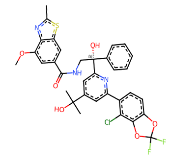 COc1cc(C(=O)NC[C@@](O)(c2ccccc2)c2cc(C(C)(C)O)cc(-c3ccc4c(c3Cl)OC(F)(F)O4)n2)cc2sc(C)nc12